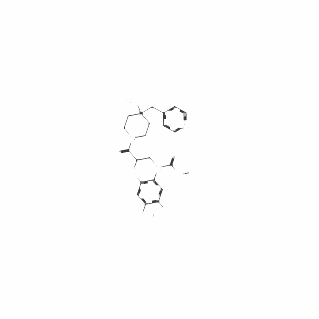 COc1cc2c(cc1Cl)N(C(=O)OC(C)(C)C)CC(C(=O)N1CCC(C#N)(Cc3ccncc3)CC1)O2